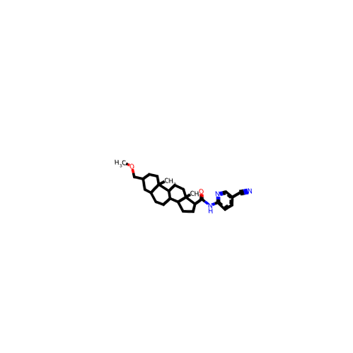 COCC1CCC2(C)C(CCC3C2CCC2(C)C(C(=O)Nc4ccc(C#N)cn4)CCC32)C1